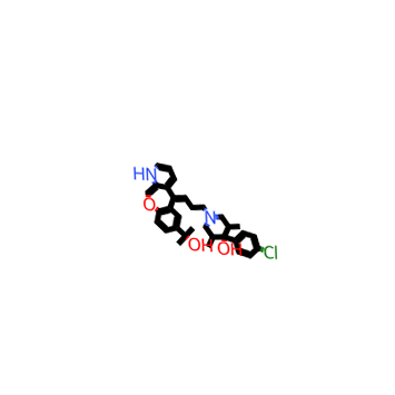 CC1CN(CC/C=C2/C3=CC=CNC3=COc3ccc(C(C)(C)O)cc32)CC(C)C1(O)c1ccc(Cl)cc1